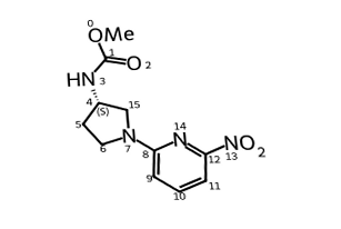 COC(=O)N[C@H]1CCN(c2cccc([N+](=O)[O-])n2)C1